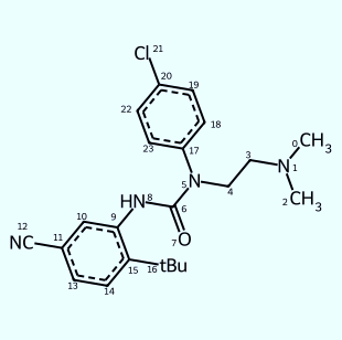 CN(C)CCN(C(=O)Nc1cc(C#N)ccc1C(C)(C)C)c1ccc(Cl)cc1